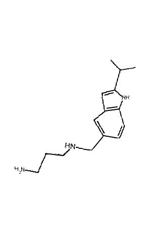 CC(C)c1cc2cc(CNCCCN)ccc2[nH]1